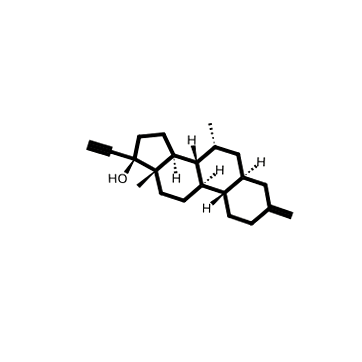 C#C[C@]1(O)CC[C@H]2[C@H]3[C@H](CC[C@@]21C)[C@H]1CCC(=C)C[C@@H]1C[C@H]3C